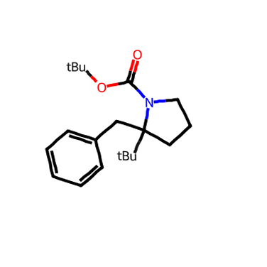 CC(C)(C)OC(=O)N1CCCC1(Cc1ccccc1)C(C)(C)C